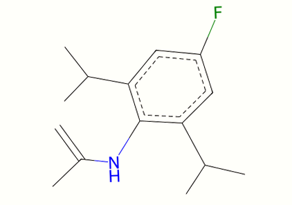 C=C(C)Nc1c(C(C)C)cc(F)cc1C(C)C